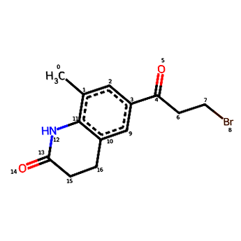 Cc1cc(C(=O)CCBr)cc2c1NC(=O)CC2